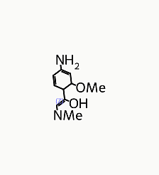 CN/C=C(\O)C1C=CC(N)=CC1OC